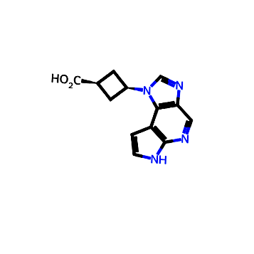 O=C(O)[C@H]1C[C@@H](n2cnc3cnc4[nH]ccc4c32)C1